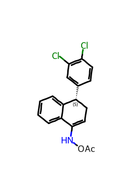 CC(=O)ONC1=CC[C@@H](c2ccc(Cl)c(Cl)c2)c2ccccc21